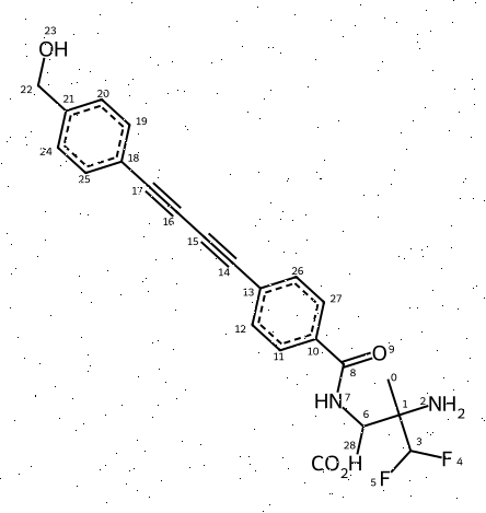 CC(N)(C(F)F)C(NC(=O)c1ccc(C#CC#Cc2ccc(CO)cc2)cc1)C(=O)O